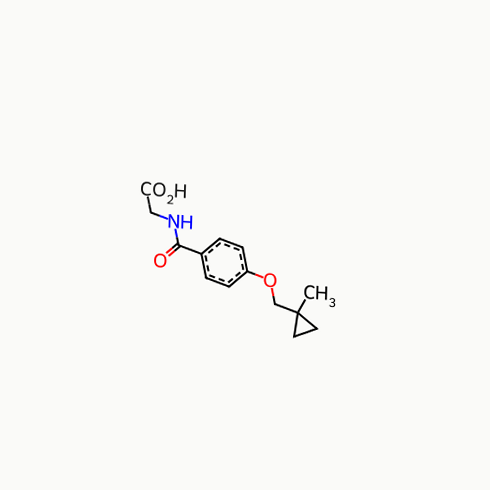 CC1(COc2ccc(C(=O)NCC(=O)O)cc2)CC1